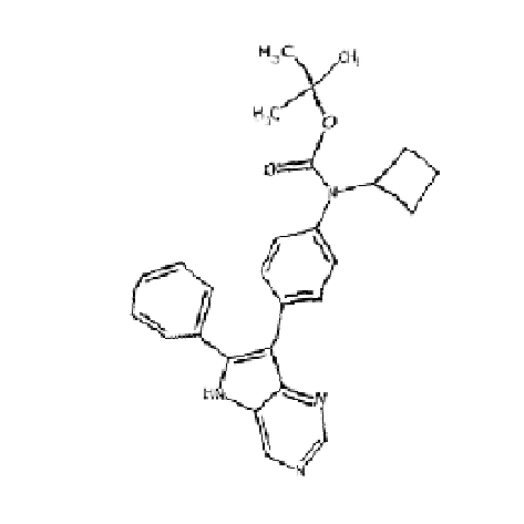 CC(C)(C)OC(=O)N(c1ccc(-c2c(-c3ccccc3)[nH]c3cncnc23)cc1)C1CCC1